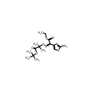 CCOC(=O)/C(=N\OC(C)(C)C(=O)OC(C)(C)C)c1csc(N)n1